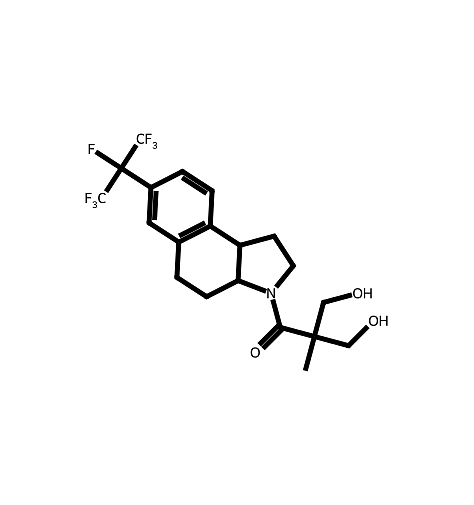 CC(CO)(CO)C(=O)N1CCC2c3ccc(C(F)(C(F)(F)F)C(F)(F)F)cc3CCC21